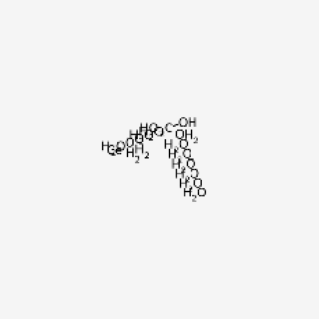 O.O.O.O.O.O.O.O.O.O.O.O.O=C(O)O.[Ce]